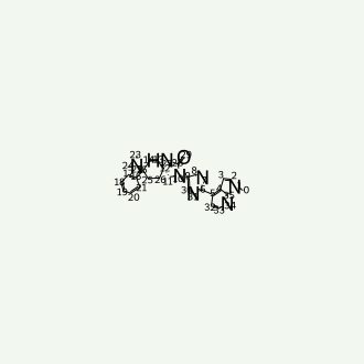 Cn1ccc2c(-c3ncc(N4C[C@]5(CC[C@](c6ccccc6)(N(C)C)CC5)NC4=O)cn3)ccnc21